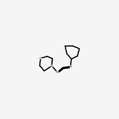 C(=NC1CCCCC1)=NN1CCOCC1